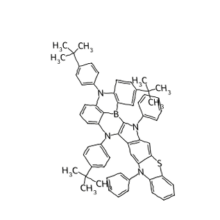 CC(C)(C)c1ccc(N2c3ccc(C(C)(C)C)cc3B3c4c2cccc4N(c2ccc(C(C)(C)C)cc2)c2c3n(-c3ccccc3)c3cc4c(cc23)N(c2ccccc2)c2ccccc2S4)cc1